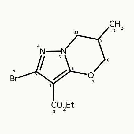 CCOC(=O)c1c(Br)nn2c1OCC(C)C2